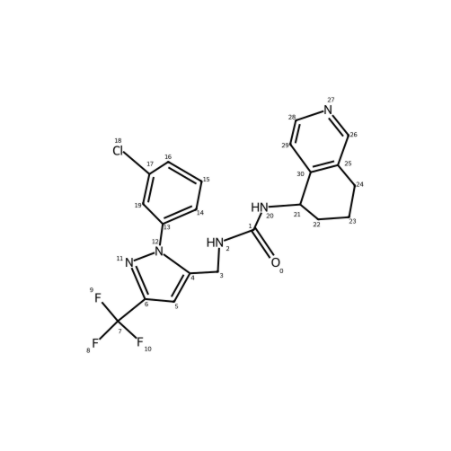 O=C(NCc1cc(C(F)(F)F)nn1-c1cccc(Cl)c1)NC1CCCc2cnccc21